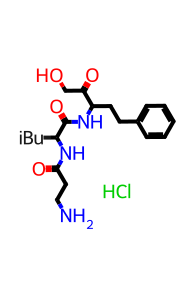 CCC(C)C(NC(=O)CCN)C(=O)NC(CCc1ccccc1)C(=O)CO.Cl